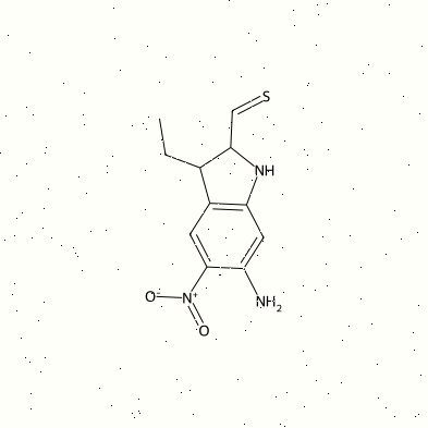 CCC1c2cc([N+](=O)[O-])c(N)cc2NC1C=S